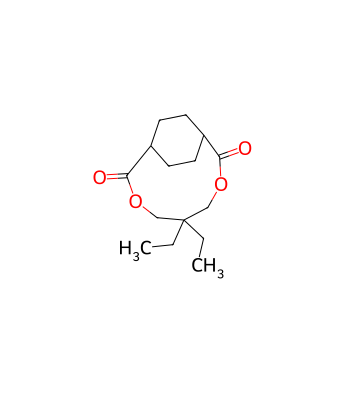 CCC1(CC)COC(=O)C2CCC(CC2)C(=O)OC1